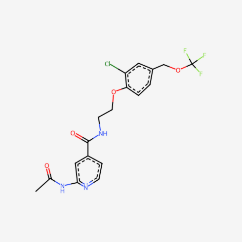 CC(=O)Nc1cc(C(=O)NCCOc2ccc(COC(F)(F)F)cc2Cl)ccn1